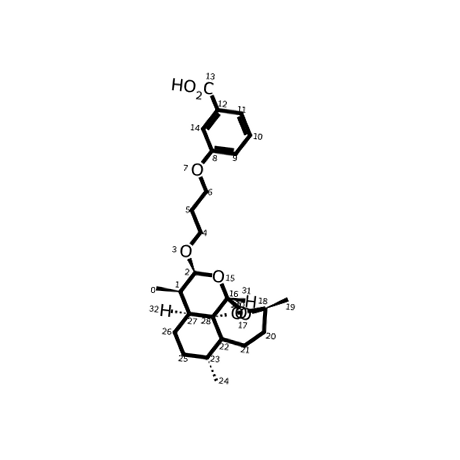 C[C@H]1[C@@H](OCCCOc2cccc(C(=O)O)c2)O[C@@H]2O[C@@]3(C)CCC4[C@H](C)CC[C@@H]1[C@]42OO3